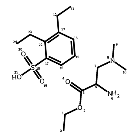 CCOC(=O)C(N)CN(C)C.CCc1cccc(S(=O)(=O)O)c1CC